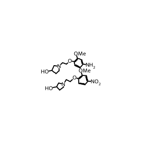 COc1cc(N)ccc1OCCN1CCC(O)C1.COc1cc([N+](=O)[O-])ccc1OCCN1CCC(O)C1